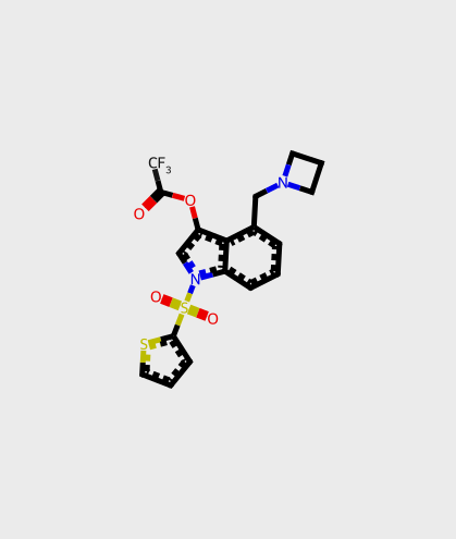 O=C(Oc1cn(S(=O)(=O)c2cccs2)c2cccc(CN3CCC3)c12)C(F)(F)F